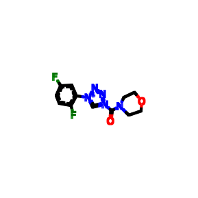 O=C(N1CCOCC1)n1c[n+](-c2cc(F)ccc2F)nn1